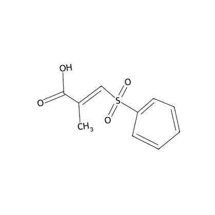 C/C(=C\S(=O)(=O)c1ccccc1)C(=O)O